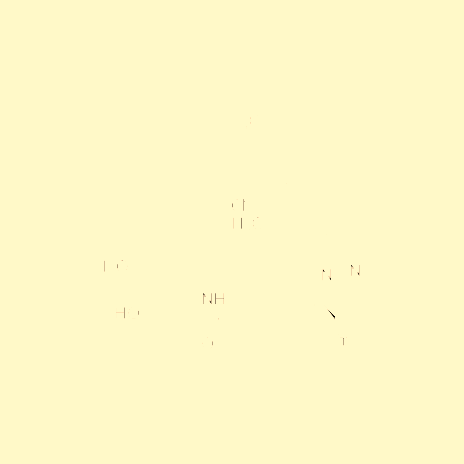 Cc1cc2c(cnn2[C@@H](CC(C)C)c2ccc(C(=O)NCCC(O)O)cc2)cc1-c1ccc(C(F)(F)F)cc1Cl